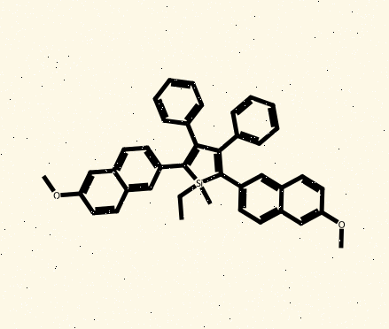 CC[Si]1(C)C(c2ccc3cc(OC)ccc3c2)=C(c2ccccc2)C(c2ccccc2)=C1c1ccc2cc(OC)ccc2c1